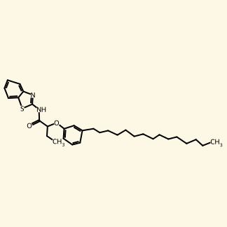 CCCCCCCCCCCCCCCc1cccc(OC(CC)C(=O)Nc2nc3ccccc3s2)c1